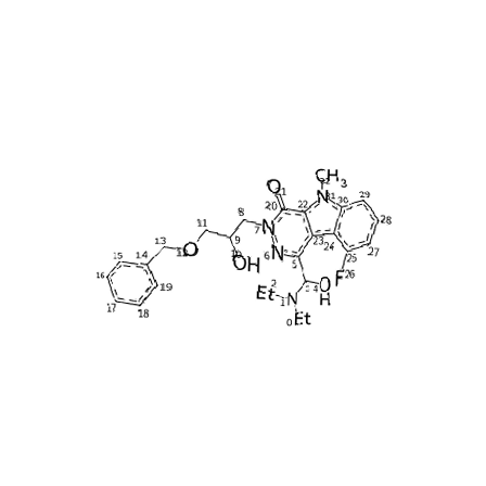 CCN(CC)C(O)c1nn(CC(O)COCc2ccccc2)c(=O)c2c1c1c(F)cccc1n2C